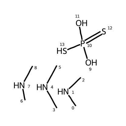 CNC.CNC.CNC.OP(O)(=S)S